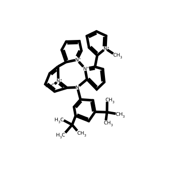 C[n+]1ccccc1-c1cccc2[n+]1-[n+]1ccccc1-c1cccc([n+]1C)N2c1cc(C(C)(C)C)cc(C(C)(C)C)c1